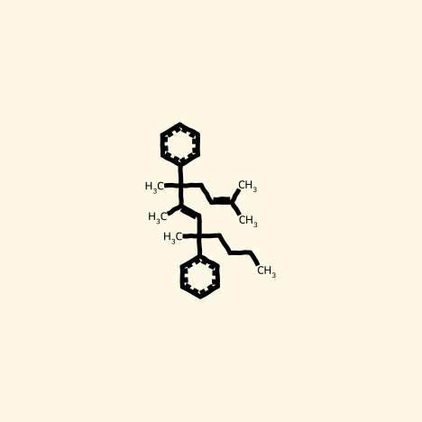 CCCCC(C)(/C=C(\C)C(C)(CC=C(C)C)c1ccccc1)c1ccccc1